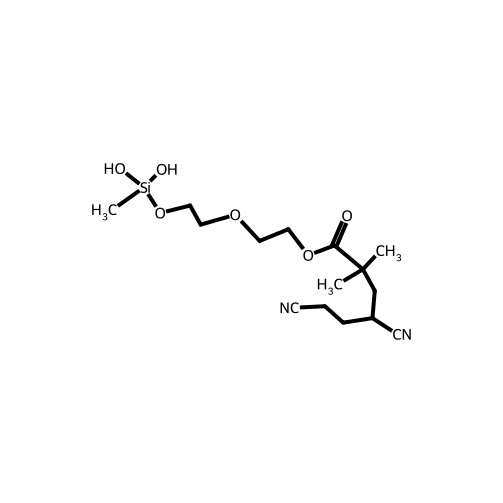 CC(C)(CC(C#N)CCC#N)C(=O)OCCOCCO[Si](C)(O)O